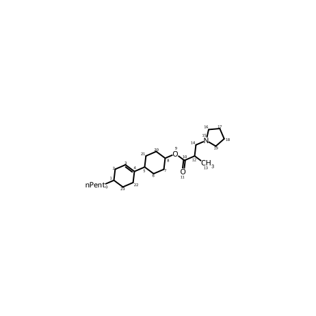 CCCCCC1CC=C(C2CCC(OC(=O)C(C)CN3CCCC3)CC2)CC1